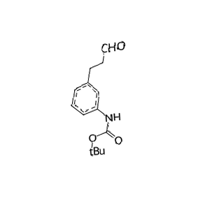 CC(C)(C)OC(=O)Nc1cccc(CCC=O)c1